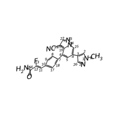 Cn1cc(-c2cc(-c3ccc(C=C(F)C(N)=O)cc3)c3c(C#N)cnn3c2)cn1